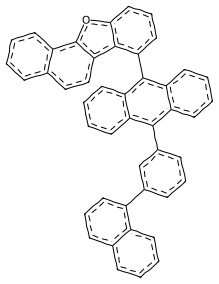 c1cc(-c2cccc3ccccc23)cc(-c2c3ccccc3c(-c3cccc4oc5c6ccccc6ccc5c34)c3ccccc23)c1